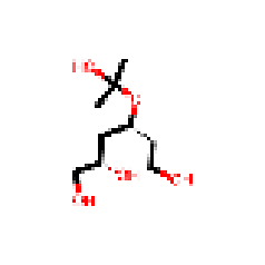 CC(C)(O)O[C@H](CCO)C[C@H](O)CO